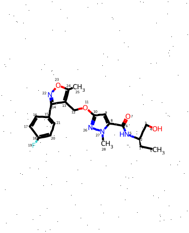 CC[C@H](CO)NC(=O)c1cc(OCc2c(-c3ccc(F)cc3)noc2C)nn1C